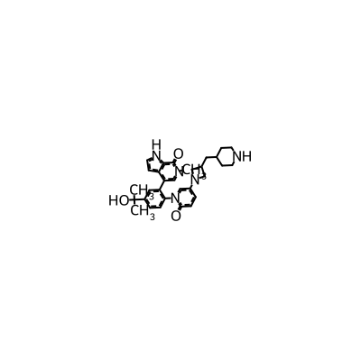 Cn1cc(-c2cc(C(C)(C)O)ccc2-n2cc(N3CC(CC4CCNCC4)C3)ccc2=O)c2cc[nH]c2c1=O